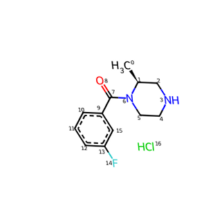 C[C@H]1CNCCN1C(=O)c1cccc(F)c1.Cl